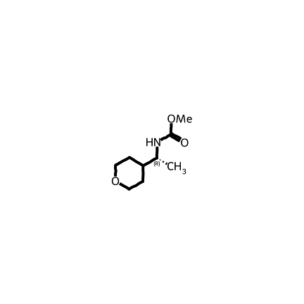 COC(=O)N[C@H](C)C1CCOCC1